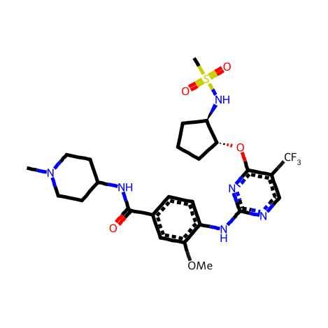 COc1cc(C(=O)NC2CCN(C)CC2)ccc1Nc1ncc(C(F)(F)F)c(O[C@@H]2CCC[C@H]2NS(C)(=O)=O)n1